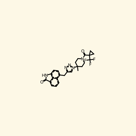 CC1(n2cc(Cc3ccc4c5c(cccc35)C(=O)N4)nn2)CCN(C(=O)C2(C(F)(F)F)CC2)CC1